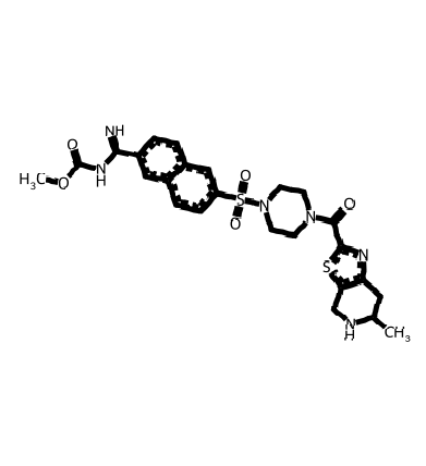 COC(=O)NC(=N)c1ccc2cc(S(=O)(=O)N3CCN(C(=O)c4nc5c(s4)CNC(C)C5)CC3)ccc2c1